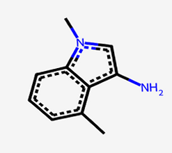 Cc1cccc2c1c(N)cn2C